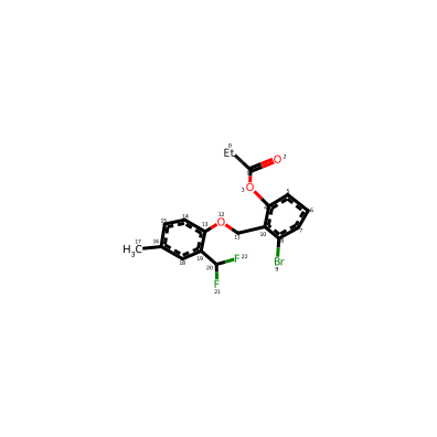 CCC(=O)Oc1cccc(Br)c1COc1ccc(C)cc1C(F)F